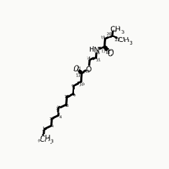 CCCCCCCCCCCC(=O)OCCNC(=O)CC(C)C